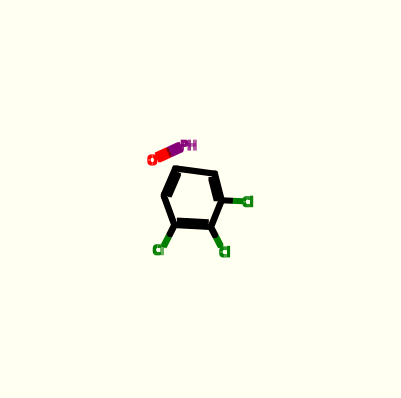 Clc1cccc(Cl)c1Cl.O=P